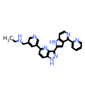 CCNCc1cncc(-c2ccc3[nH]nc(-c4cc5c(-c6ccccn6)nccc5[nH]4)c3n2)c1